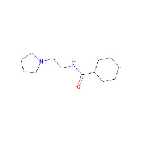 O=C(NCCN1CCCC1)C1CC[CH]CC1